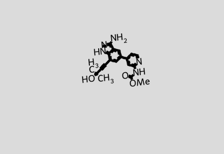 COC(=O)Nc1cc(-c2cc(C#CC(C)(C)O)c3[nH]nc(N)c3c2)ccn1